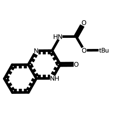 CC(C)(C)OC(=O)Nc1nc2ccccc2[nH]c1=O